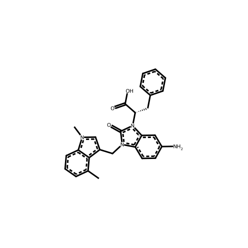 Cc1cccc2c1c(Cn1c(=O)n([C@@H](Cc3ccccc3)C(=O)O)c3cc(N)ccc31)cn2C